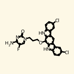 Nc1nc(=O)n(CCCOc2c3[nH]c4ccc(Cl)cc4c3cc3c2[nH]c2ccc(Cl)cc23)cc1F